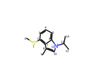 CSc1cccc2c1c(C)cn2C(C)C